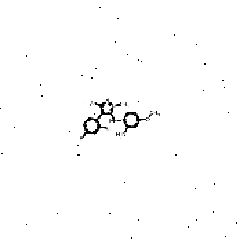 COc1ccc(Nc2c(-c3ccc(F)cc3Cl)c(C)nn2C)c(N)c1